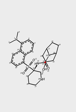 CN(C)c1cccc2c(S(=O)(=O)[C@@]3(NC(=O)N4C5CCC4CC(O)C5)CCCNC3)cccc12